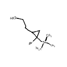 C[Si](C)(C)C1(Br)CC1CCO